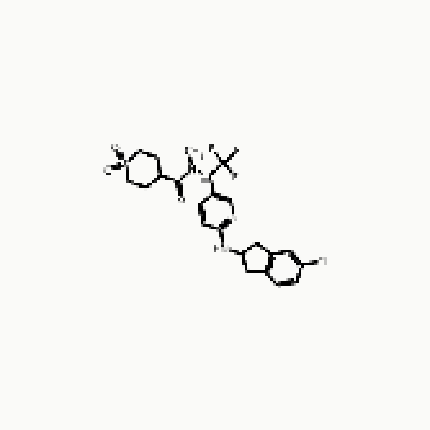 CN(C(=O)C1CCS(=O)(=O)CC1)[C@@H](c1ccc(NC2Cc3ccc(Cl)cc3C2)nc1)C(F)(F)F